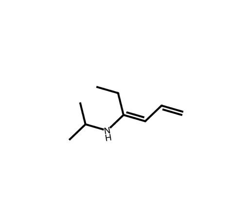 C=C/C=C(\CC)NC(C)C